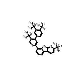 [2H]C([2H])([2H])c1ccc2c(n1)oc1c(-c3cc(-c4ccc(C([2H])([2H])[2H])c(C([2H])([2H])[2H])c4)c(C([2H])([2H])[2H])cn3)cccc12